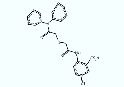 O=C(COCC(=O)N(c1ccccc1)c1ccccc1)Nc1ccc(Cl)cc1C(=O)O